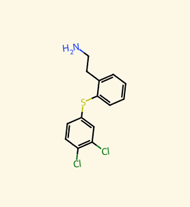 NCCc1ccccc1Sc1ccc(Cl)c(Cl)c1